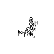 COC1=C(n2c(=O)ccc3cc(S(=O)(=O)Nc4ccon4)ccc32)C(C)C(F)C(C2CC(F)(F)C2)=C1